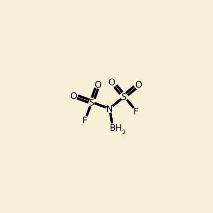 BN(S(=O)(=O)F)S(=O)(=O)F